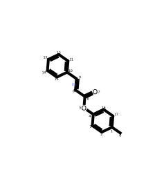 Cc1ccc(OC(=O)/C=C/c2ccccc2)cc1